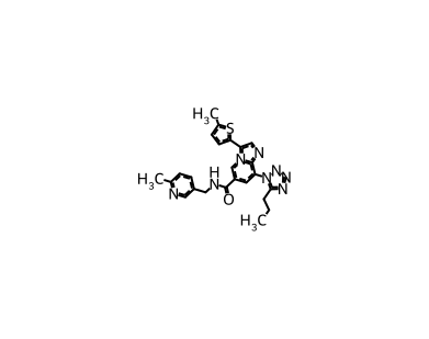 CCCc1nnnn1-c1cc(C(=O)NCc2ccc(C)nc2)cn2c(-c3ccc(C)s3)cnc12